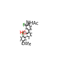 COc1ccc(F)c(-c2cccc(-c3ccc(NC(C)=O)c(F)c3)c2O)c1